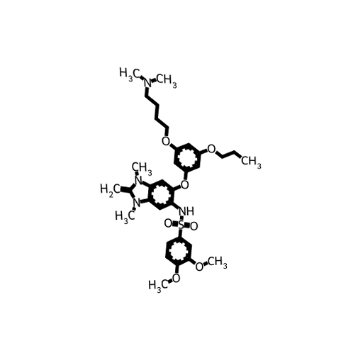 C=C1N(C)c2cc(NS(=O)(=O)c3ccc(OC)c(OC)c3)c(Oc3cc(OCCC)cc(OCCCCN(C)C)c3)cc2N1C